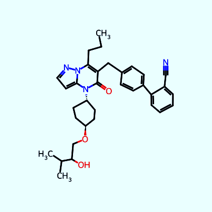 CCCc1c(Cc2ccc(-c3ccccc3C#N)cc2)c(=O)n([C@H]2CC[C@H](OCC(O)C(C)C)CC2)c2ccnn12